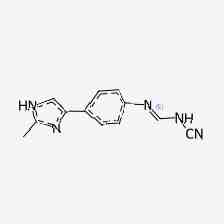 Cc1nc(-c2ccc(/N=C/NC#N)cc2)c[nH]1